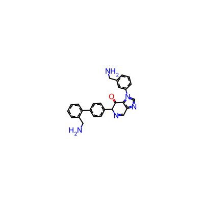 NCc1cccc(-n2cnc3c2C(=O)C(c2ccc(-c4ccccc4CN)cc2)N=C3)c1